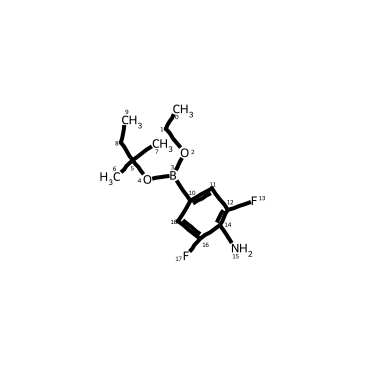 CCOB(OC(C)(C)CC)c1cc(F)c(N)c(F)c1